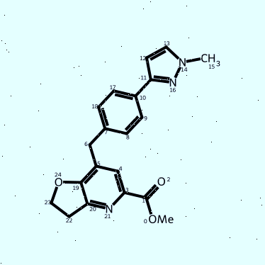 COC(=O)c1cc(Cc2ccc(-c3ccn(C)n3)cc2)c2c(n1)CCO2